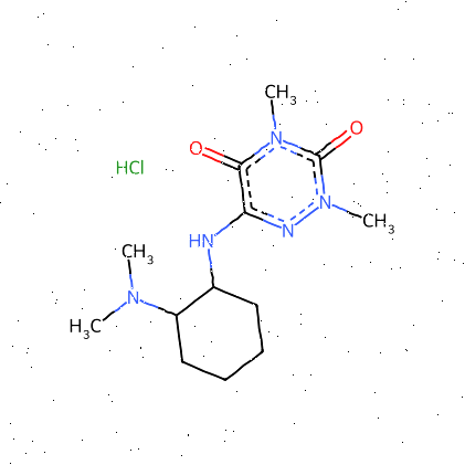 CN(C)C1CCCCC1Nc1nn(C)c(=O)n(C)c1=O.Cl